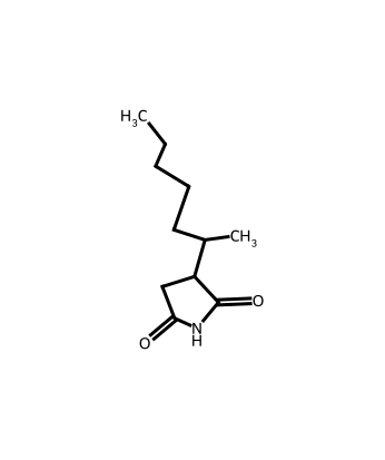 CCCCCC(C)C1CC(=O)NC1=O